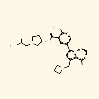 COc1ncc(-c2cc(CN3CCC3)c3c(N)ncnn23)cc1C(=O)N[C@@H]1CN(CC(O)C(F)(F)F)C[C@@H]1F